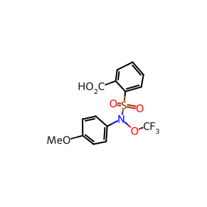 COc1ccc(N(OC(F)(F)F)S(=O)(=O)c2ccccc2C(=O)O)cc1